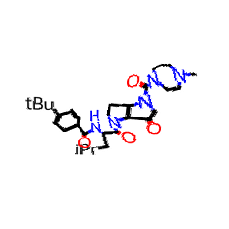 CC(C)CC(NC(=O)c1ccc(C(C)(C)C)cc1)C(=O)N1CCC2C1C(=O)CN2C(=O)N1CCN(C)CC1